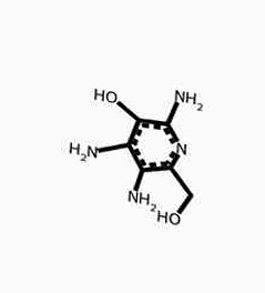 Nc1nc(CO)c(N)c(N)c1O